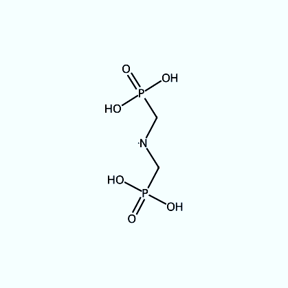 O=P(O)(O)C[N]CP(=O)(O)O